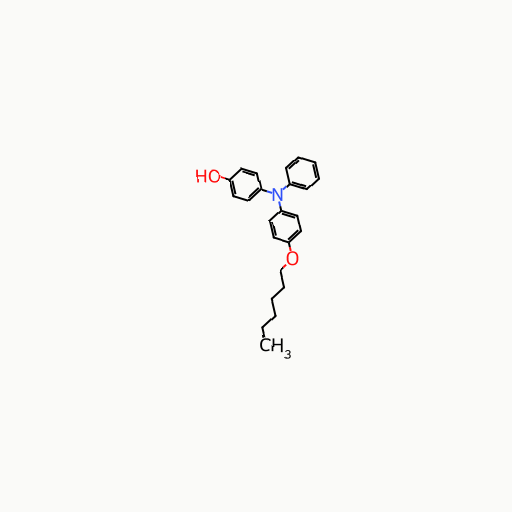 CCCCCCOc1ccc(N(c2ccccc2)c2ccc(O)cc2)cc1